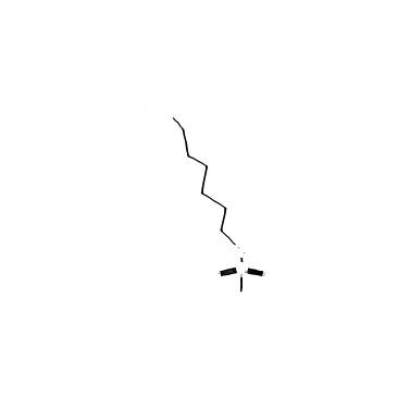 CC(C)S(=O)(=O)NCCCCCCC(=O)O